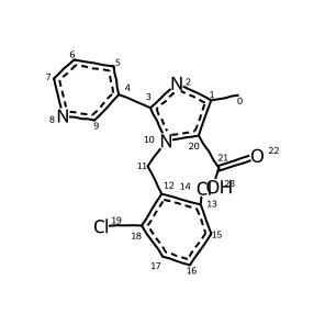 Cc1nc(-c2cccnc2)n(Cc2c(Cl)cccc2Cl)c1C(=O)O